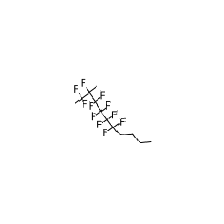 CCCCC(F)(F)C(F)(F)C(F)(F)C(F)(F)C(C)(F)C(C)(F)F